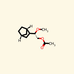 CO[C@H](COC(C)=O)C1C[C@@H]2CC[C@H]1C2